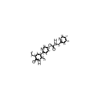 CCc1cc(-c2ccc(OC(=O)NCc3ccccn3)cn2)c(C)[nH]c1=O